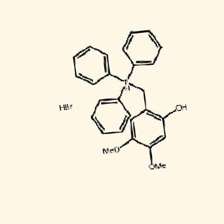 Br.COc1cc(O)c(C[PH](c2ccccc2)(c2ccccc2)c2ccccc2)cc1OC